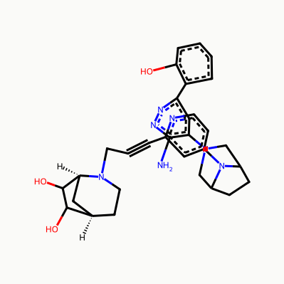 Nc1nnc(-c2ccccc2O)cc1N1CC2CCC(C1)N2c1ccnc(C#CCN2CC[C@@H]3C[C@H]2C(O)C3O)c1